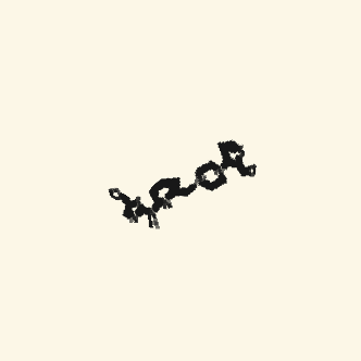 O=Cc1sccc1N1CCN(Cc2cccc(Nc3ncc(Cl)s3)n2)CC1